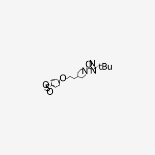 CC(C)(C)c1noc(N2CCC(CCCOc3ccc(S(C)(=O)=O)cc3)CC2)n1